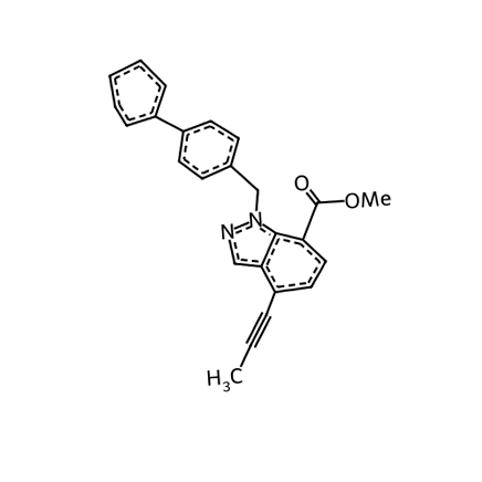 CC#Cc1ccc(C(=O)OC)c2c1cnn2Cc1ccc(-c2ccccc2)cc1